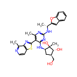 Cc1nc(N[C@H](C)c2cc3ccccc3o2)nc(N[C@@H]2C[C@H](CO)[C@@H](O)[C@@]2(C)O)c1-c1nc2c(C)nccc2s1